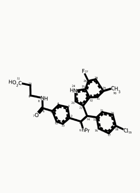 CCCC(c1ccc(C(=O)NCCC(=O)O)cc1)C(c1ccc(Cl)cc1)c1c[nH]c2c(F)cc(C)cc12